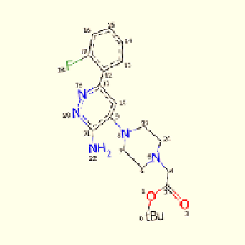 CC(C)(C)OC(=O)CN1CCN(c2cc(-c3ccccc3F)nnc2N)CC1